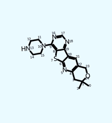 CC1(C)Cc2nc3sc4c(N5CCNCC5)ncnc4c3cc2CO1